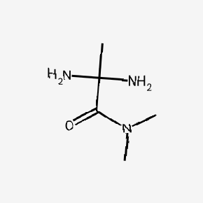 CN(C)C(=O)C(C)(N)N